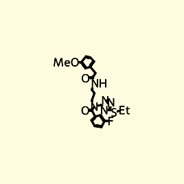 CCSc1nnc2n(CCCNC(=O)Cc3cccc(OC)c3)c(=O)c3cccc(F)c3n12